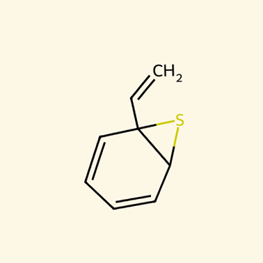 C=CC12C=CC=CC1S2